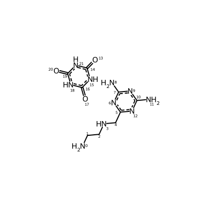 NCCNCc1nc(N)nc(N)n1.O=c1[nH]c(=O)[nH]c(=O)[nH]1